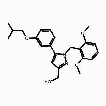 COc1cccc(OC)c1Cn1nc(CO)cc1-c1cccc(OCC(C)C)c1